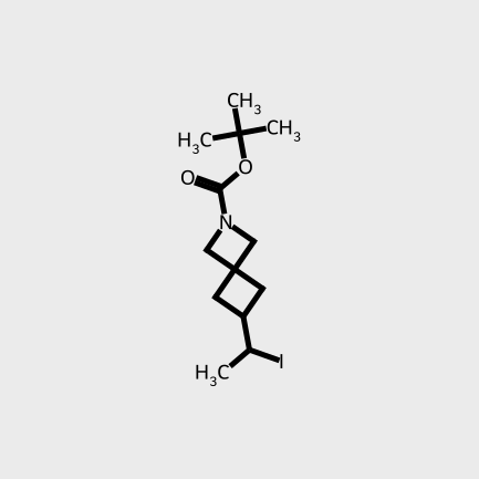 CC(I)C1CC2(C1)CN(C(=O)OC(C)(C)C)C2